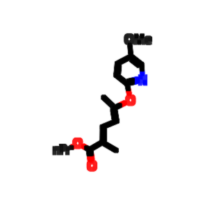 CCCOC(=O)/C(C)=C/C=C(\C)Oc1ccc(OC)cn1